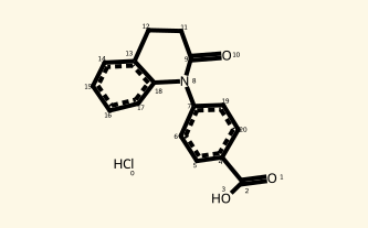 Cl.O=C(O)c1ccc(N2C(=O)CCc3ccccc32)cc1